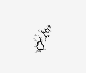 O=C(O)CNC(=O)[C@H](C=S)Cc1ccccc1